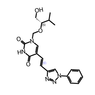 CC(C)[C@@H](CO)OCn1cc(/C=C/c2cn(-c3ccccc3)nn2)c(=O)[nH]c1=O